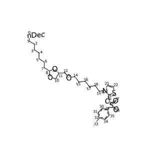 CCCCCCCCCCCCCCCCCC1OCC(COCCCCCCN2C=CSC2OS(=O)(=O)c2ccc(C)cc2)O1